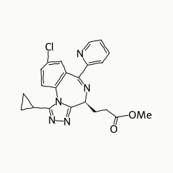 COC(=O)CC[C@@H]1N=C(c2ccccn2)c2cc(Cl)ccc2-n2c(C3CC3)nnc21